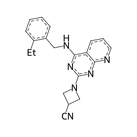 CCc1ccccc1CNc1nc(N2CC(C#N)C2)nc2ncccc12